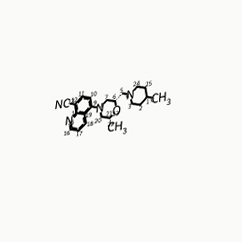 CC1CCN(C[C@H]2CN(c3ccc(C#N)c4ncccc34)C[C@@H](C)O2)CC1